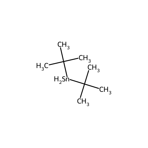 C[C](C)(C)[SnH2][C](C)(C)C